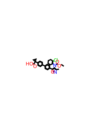 CCOC(=O)N(C1=C(Cl)CCCC1)c1c(C)noc1-c1ccc(-c2ccc(C3(C(=O)O)CC3)cc2)cc1